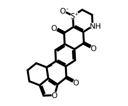 CC12CCCc3coc(c31)C(=O)c1cc3c(cc12)C(=O)C1=C(NCC[S+]1[O-])C3=O